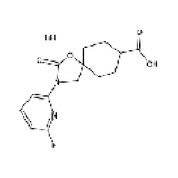 O=C(O)C1CCC2(CC1)CN(c1cccc(F)n1)C(=O)O2.[LiH]